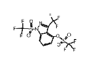 O=S(=O)(Oc1cccc2c1c(C(F)(F)F)nn2S(=O)(=O)C(F)(F)F)C(F)(F)F